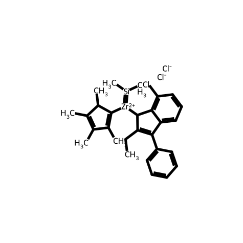 CCC1=C(c2ccccc2)c2cccc(Cl)c2[CH]1[Zr+2]([C]1=C(C)C(C)=C(C)C1C)=[Si](C)C.[Cl-].[Cl-]